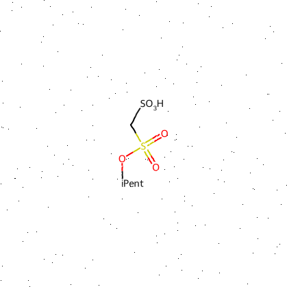 CCCC(C)OS(=O)(=O)CS(=O)(=O)O